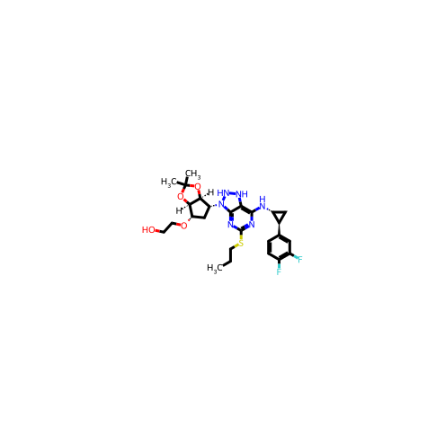 CCCSc1nc(N[C@@H]2C[C@H]2c2ccc(F)c(F)c2)c2c(n1)N([C@@H]1C[C@H](OCCO)[C@H]3OC(C)(C)O[C@H]31)NN2